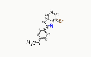 CCc1ccc(C2=Nc3c(Br)cccc3C2)cc1